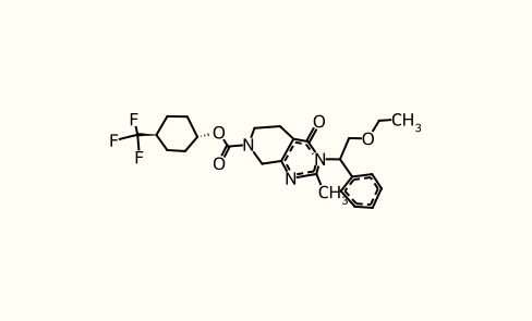 CCOCC(c1ccccc1)n1c(C)nc2c(c1=O)CCN(C(=O)O[C@H]1CC[C@H](C(F)(F)F)CC1)C2